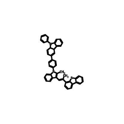 C/C(=C\c1c(C)n(-c2ccc(C3=CC4c5ccccc5N(c5ccccc5)C4C=C3)cc2)c2ccccc12)c1cccc2c1sc1ccccc12